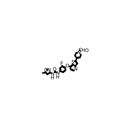 Cc1cc(NC(=O)Nc2ccc(Oc3ccnc4cc(C5=CCN(C=O)CC5)sc34)c(F)c2)no1